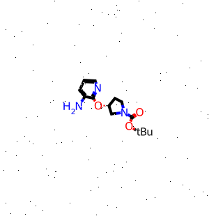 CC(C)(C)OC(=O)N1CC[C@@H](Oc2ncccc2N)C1